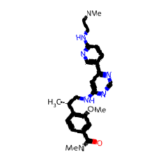 CNCCNc1ccc(-c2cc(NC[C@@H](C)c3ccc(C(=O)NC)cc3OC)ncn2)cn1